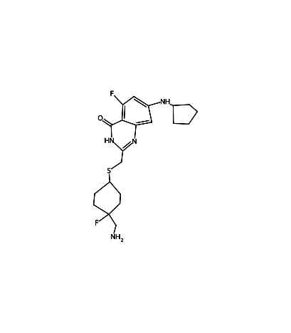 NCC1(F)CCC(SCc2nc3cc(NC4CCCC4)cc(F)c3c(=O)[nH]2)CC1